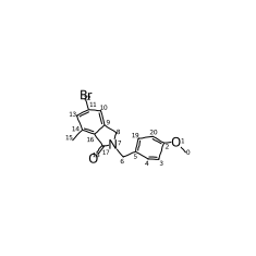 COc1ccc(CN2Cc3cc(Br)cc(C)c3C2=O)cc1